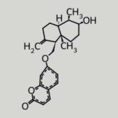 C=C1CC[C@H]2[C@@H](C)[C@@H](O)CC[C@]2(C)[C@H]1COc1ccc2ccc(=O)oc2c1